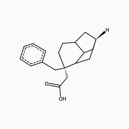 O=C(O)C[C@]1(Cc2ccccc2)CCC2C[C@@H]3CC2C1C3